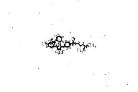 CN(C)CCCNC(=O)c1ccc(-c2ccc(-c3ccc(Cl)cn3)n2-c2ccccc2C(F)(F)F)cc1.Cl